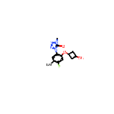 Cn1nnn(-c2cc(C(C)(C)C)c(F)cc2OC2CC(O)C2)c1=O